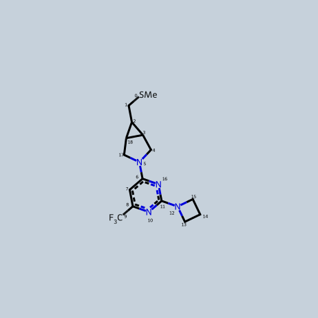 CSCC1C2CN(c3cc(C(F)(F)F)nc(N4CCC4)n3)CC12